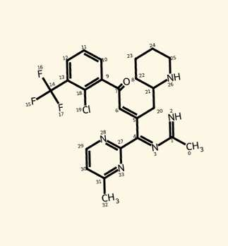 CC(=N)/N=C(\C(=C\C(=O)c1cccc(C(F)(F)F)c1Cl)CC1CCCCN1)c1nccc(C)n1